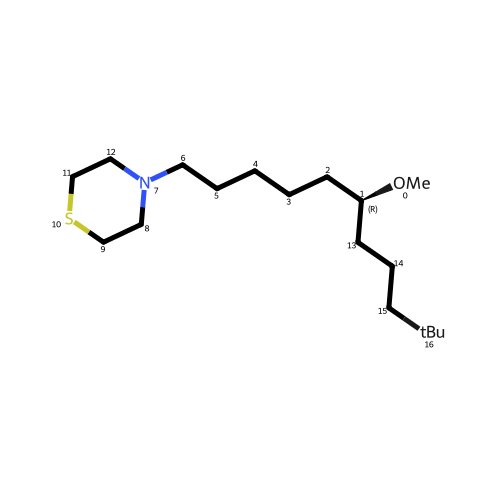 CO[C@H](CCCCCN1CCSCC1)CCCC(C)(C)C